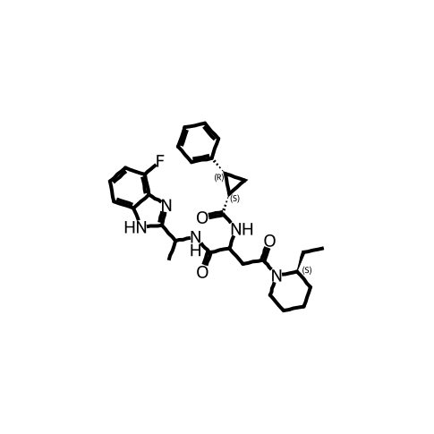 CC[C@H]1CCCCN1C(=O)CC(NC(=O)[C@H]1C[C@H]1c1ccccc1)C(=O)NC(C)c1nc2c(F)cccc2[nH]1